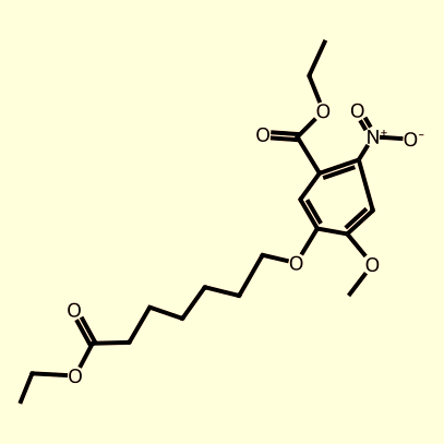 CCOC(=O)CCCCCCOc1cc(C(=O)OCC)c([N+](=O)[O-])cc1OC